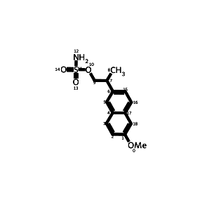 COc1ccc2cc(C(C)COS(N)(=O)=O)ccc2c1